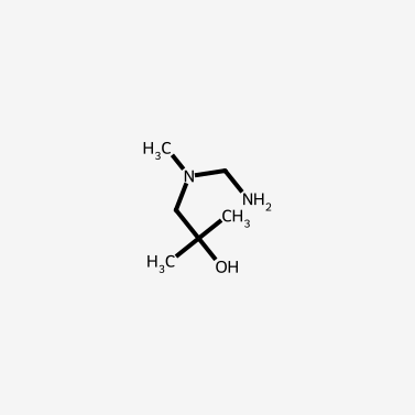 CN(CN)CC(C)(C)O